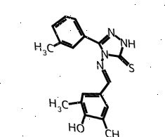 Cc1cccc(-c2n[nH]c(=S)n2N=Cc2cc(C)c(O)c(C)c2)c1